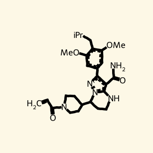 C=CC(=O)N1CCC(C2CCNc3c(C(N)=O)c(-c4cc(OC)c(CC(C)C)c(OC)c4)nn32)CC1